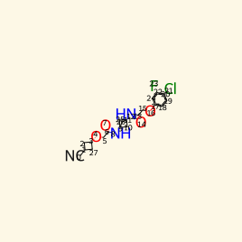 N#C[C@H]1C[C@H](OCC(=O)NC23CC(NC(=O)COc4ccc(Cl)c(F)c4)(C2)C3)C1